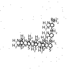 Nc1ccc([S-])c(N)c1N.Nc1ccc([S-])c(N)c1N.Nc1ccc([S-])c(N)c1N.Nc1ccc([S-])c(N)c1N.Nc1ccc([S-])c(N)c1N.Nc1ccc([S-])c(N)c1N.Nc1ccc([S-])c(N)c1N.[Re+7]